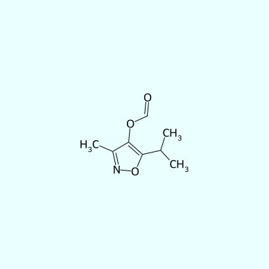 Cc1noc(C(C)C)c1OC=O